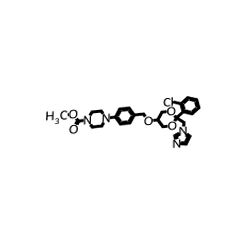 COC(=O)N1CCN(c2ccc(COC3COC(Cn4ccnc4)(c4ccccc4Cl)OC3)cc2)CC1